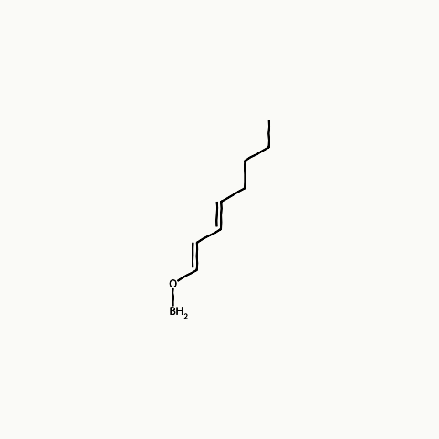 BOC=CC=CCCCC